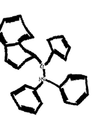 C1=CC[C]([Zr]([CH]2C=Cc3ccccc32)[SiH](c2ccccc2)c2ccccc2)=C1